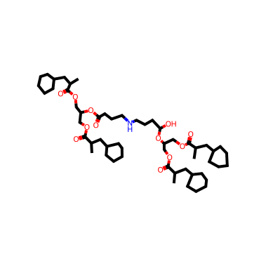 CC(CC1CCCCC1)C(=O)OCC(COC(=O)C(C)CC1CCCCC1)OC(=O)CCCNCCCC(O)OC(COC(=O)C(C)CC1CCCCC1)COC(=O)C(C)CC1CCCCC1